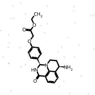 CCOC(=O)COc1ccc([C@@H]2NC(=O)c3cccc4c3N2CC[C@H]4N)cc1